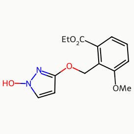 CCOC(=O)c1cccc(OC)c1COc1ccn(O)n1